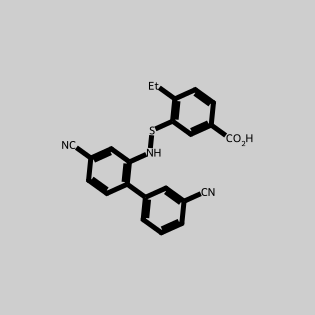 CCc1ccc(C(=O)O)cc1SNc1cc(C#N)ccc1-c1cccc(C#N)c1